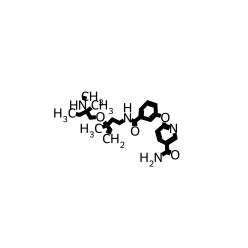 C=CC(C)(CCNC(=O)c1cccc(Oc2ccc(C(N)=O)cn2)c1)OCC(C)(CC)NC